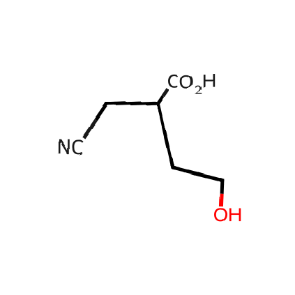 N#CCC(CCO)C(=O)O